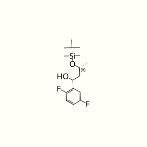 C[C@H](CC(O)c1cc(F)ccc1F)O[Si](C)(C)C(C)(C)C